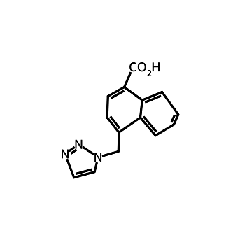 O=C(O)c1ccc(Cn2ccnn2)c2ccccc12